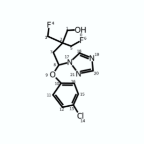 OCC(CF)(CF)CC(Oc1ccc(Cl)cc1)n1cncn1